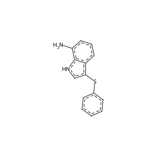 Nc1cccc2c(Sc3ccccc3)c[nH]c12